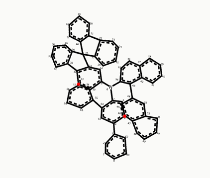 c1ccc(-c2ccc(N(c3ccc4c(c3)C3(c5ccccc5-c5ccccc53)c3ccccc3-4)c3ccc4ccccc4c3-c3ccc4ccccc4c3)c(-c3ccccc3)c2)cc1